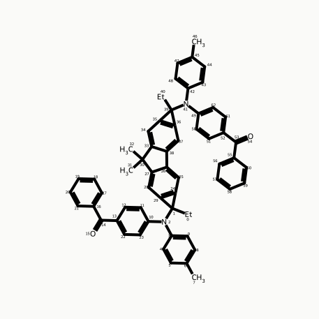 CCC1(N(c2ccc(C)cc2)c2ccc(C(=O)c3ccccc3)cc2)c2cc3c(cc21)C(C)(C)c1cc2c(cc1-3)C2(CC)N(c1ccc(C)cc1)c1ccc(C(=O)c2ccccc2)cc1